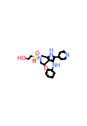 O=C1CN(S(=O)(=O)CCO)Cc2[nH]c(-c3ccncc3)c(Nc3ccccc3)c21